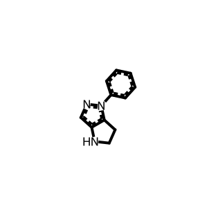 c1ccc(-n2ncc3c2CCN3)cc1